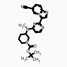 CN(c1ccnc(-c2cnc3ccc(C#N)cn23)n1)C1CCCN(C(=O)OC(C)(C)C)C1